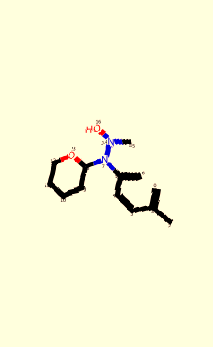 C=C(C)/C=C\C(=C)N(C1CCCCO1)N(C)O